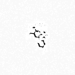 COC(=O)c1cc(S(C)(=O)=O)c(-n2ccc(=O)cc2)cc1CF